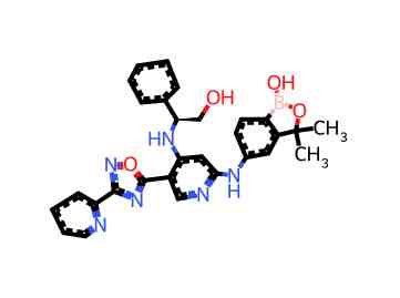 CC1(C)OB(O)c2ccc(Nc3cc(N[C@H](CO)c4ccccc4)c(-c4nc(-c5ccccn5)no4)cn3)cc21